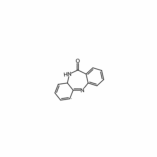 O=C1NC2C=CC=[C]C2=Nc2ccccc21